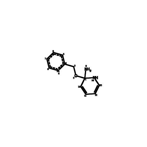 NC1(OCc2ccccn2)C=CC=CN1